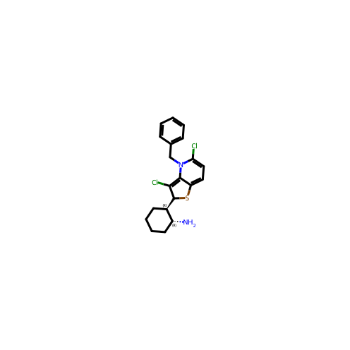 N[C@@H]1CCCC[C@H]1C1SC2=CC=C(Cl)N(Cc3ccccc3)C2=C1Cl